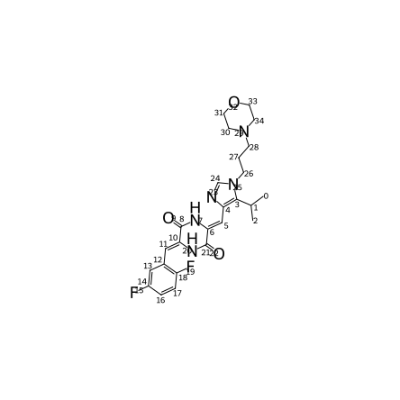 CC(C)c1c(/C=c2\[nH]c(=O)/c(=C/c3cc(F)ccc3F)[nH]c2=O)ncn1CCCN1CCOCC1